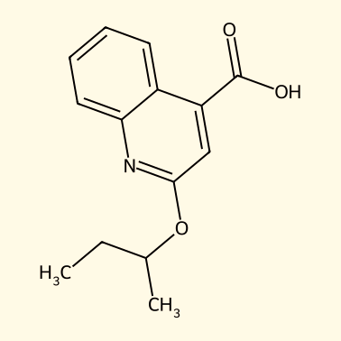 CCC(C)Oc1cc(C(=O)O)c2ccccc2n1